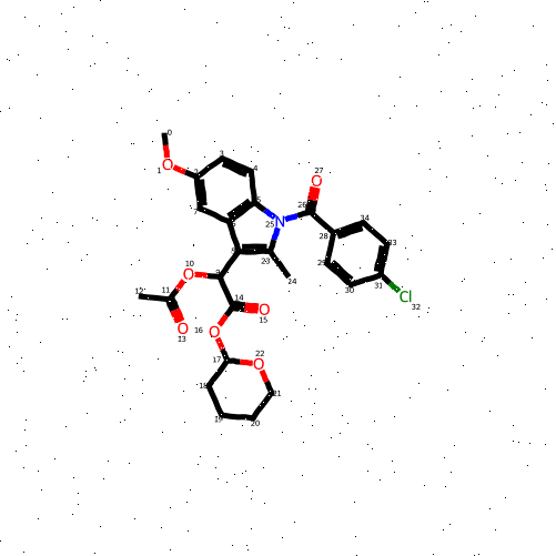 COc1ccc2c(c1)c(C(OC(C)=O)C(=O)OC1CCCCO1)c(C)n2C(=O)c1ccc(Cl)cc1